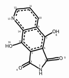 O=C1NC(=O)c2c1c(O)c1cccnc1c2O